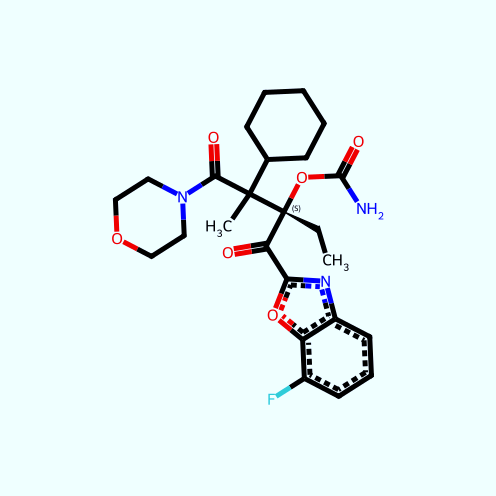 CC[C@@](OC(N)=O)(C(=O)c1nc2cccc(F)c2o1)C(C)(C(=O)N1CCOCC1)C1CCCCC1